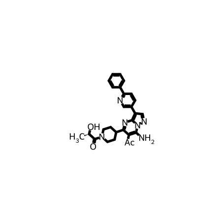 CC(=O)c1c(C2CCN(C(=O)[C@H](C)O)CC2)nc2c(-c3ccc(-c4ccccc4)nc3)cnn2c1N